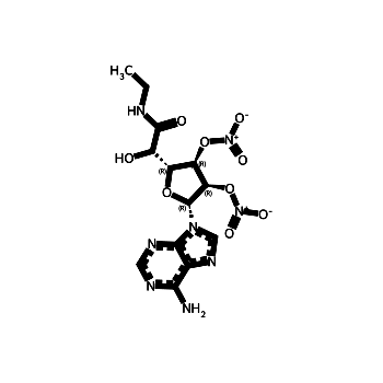 CCNC(=O)C(O)[C@H]1O[C@@H](n2cnc3c(N)ncnc32)[C@H](O[N+](=O)[O-])[C@@H]1O[N+](=O)[O-]